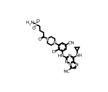 N#Cc1cc(Nc2nc(NC3CC3)c3ncc(C#N)n3n2)c(Cl)c(N2CCN(C(=O)CCCS(N)(=O)=O)CC2)c1